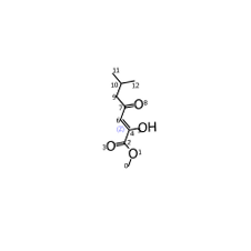 COC(=O)/C(O)=C/C(=O)CC(C)C